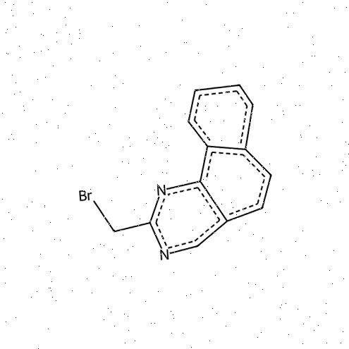 BrCc1ncc2ccc3ccccc3c2n1